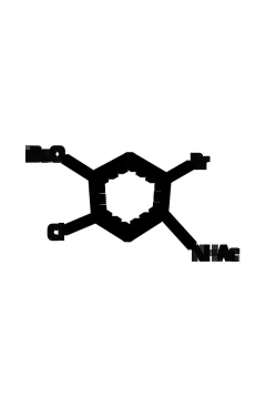 CC(=O)Nc1cc(Cl)c(OCC(C)C)cc1Br